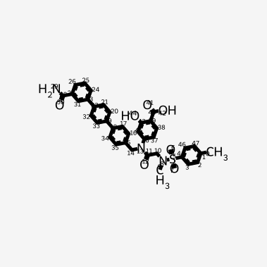 Cc1ccc(S(=O)(=O)N(C)CC(=O)N(Cc2ccc(-c3ccc(-c4cccc(C(N)=O)c4)cc3)cc2)c2ccc(C(=O)O)c(O)c2)cc1